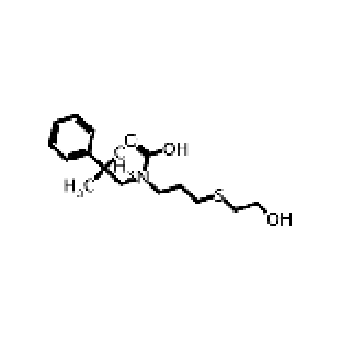 CC(C)(CN(CCCSCCO)C(=O)O)c1ccccc1